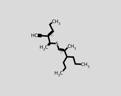 C#C/C(=C\CC)C(=C)S/C=C(\C)C(CCC)CCC